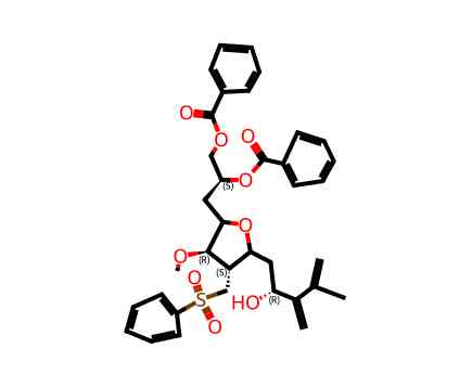 C=C(C)C(=C)[C@H](O)CC1OC(C[C@@H](COC(=O)c2ccccc2)OC(=O)c2ccccc2)[C@H](OC)[C@H]1CS(=O)(=O)c1ccccc1